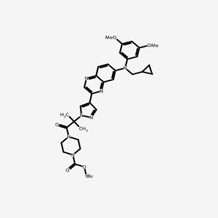 COc1cc(OC)cc(N(CC2CC2)c2ccc3ncc(-c4cnn(C(C)(C)C(=O)N5CCN(C(=O)OC(C)(C)C)CC5)c4)nc3c2)c1